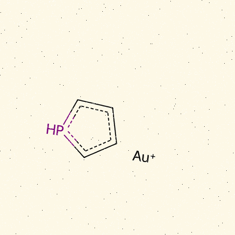 [Au+].c1cc[pH]c1